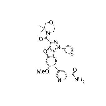 COc1cc2oc3c(C(=O)N4CCOCC4(C)C)nn(-c4ccsc4)c3c2cc1-c1cncc(C(N)=O)c1